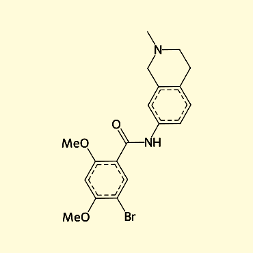 COc1cc(OC)c(C(=O)Nc2ccc3c(c2)CN(C)CC3)cc1Br